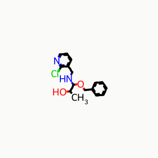 CC(O)C(NCc1cccnc1Cl)OCc1ccccc1